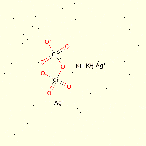 [Ag+].[Ag+].[KH].[KH].[O]=[Cr](=[O])([O-])[O][Cr](=[O])(=[O])[O-]